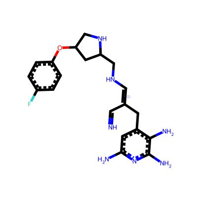 N=C/C(=C\NCC1CC(Oc2ccc(F)cc2)CN1)Cc1cc(N)nc(N)c1N